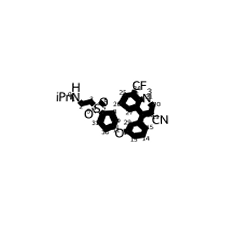 CC(C)NCCS(=O)(=O)c1ccc(Oc2cccc(-c3c(C#N)cnc4c(C(F)(F)F)cccc34)c2)cc1